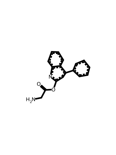 NCC(=O)Oc1cc(-c2ccccc2)c2ccccc2n1